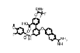 COc1ccc(S(=O)(=O)Nc2ccc(Oc3ccc4cc(C(=N)N)ccc4c3)c(-c3ccccc3C(=O)O)c2)cc1F.O=C(O)C(F)(F)F